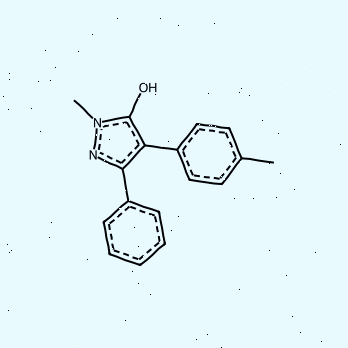 Cc1ccc(-c2c(-c3ccccc3)nn(C)c2O)cc1